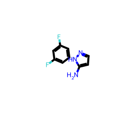 Fc1cccc(F)c1.Nc1ccn[nH]1